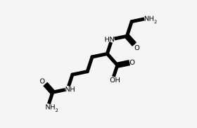 NCC(=O)NC(CCCNC(N)=O)C(=O)O